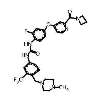 CN1CCN(Cc2ccc(NC(=O)Nc3ccc(Oc4ccnc(C(=O)N5CCC5)c4)cc3F)cc2C(F)(F)F)CC1